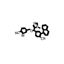 Cn1cncc1C(OCc1ccc(C#N)c(Br)c1)c1ccc(C#N)c(-c2cccc3ccccc23)c1